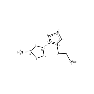 COCCn1cncc1[C@@H]1CC[C@H](N)C1